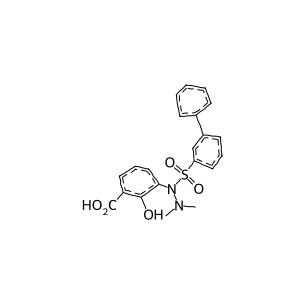 CN(C)N(c1cccc(C(=O)O)c1O)S(=O)(=O)c1cccc(-c2ccccc2)c1